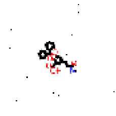 CN(C)C(=O)C=Cc1cc2c(c(C(=O)O)c1)OC(c1ccccc1)(c1ccccc1)O2